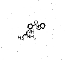 N[C@@H](CS)CNc1cccc(C(=O)N2CCc3ccccc32)c1